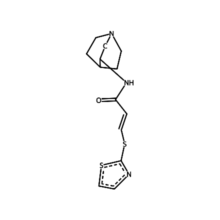 O=C(C=CSc1nccs1)NC1CN2CCC1CC2